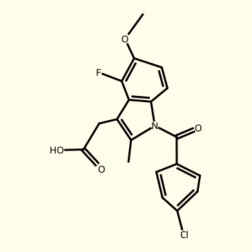 COc1ccc2c(c1F)c(CC(=O)O)c(C)n2C(=O)c1ccc(Cl)cc1